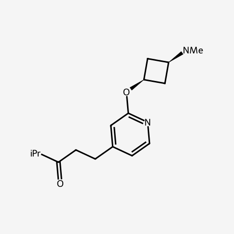 CN[C@H]1C[C@@H](Oc2cc(CCC(=O)C(C)C)ccn2)C1